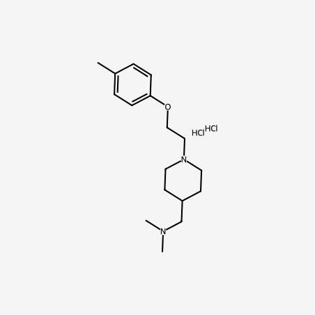 Cc1ccc(OCCN2CCC(CN(C)C)CC2)cc1.Cl.Cl